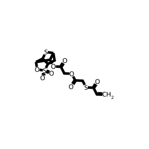 C=CC(=O)SCC(=O)OCC(=O)OC1C2CC3C(S2)C1OS3(=O)=O